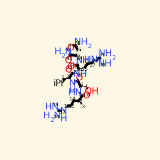 CC(C)C[C@H](NC(=O)[C@H](CO)NC(=O)[C@@H](C)CCCNC(=N)N)C(=O)N[C@@H](CCCNC(=N)N)C(=O)N[C@@H](CC(N)=O)C(N)=O